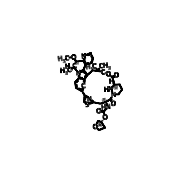 CCn1c(-c2cccnc2[C@H](C)OC)c2c3cc(ccc31)-c1csc(n1)C[C@H](NC(=O)O[C@@H]1CCOC1)C(=O)N1CCC[C@H](N1)C(=O)OCC(C)(C)C2